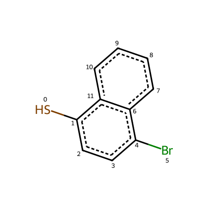 Sc1ccc(Br)c2ccccc12